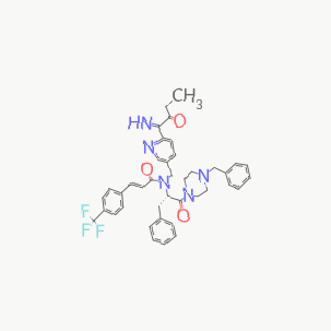 CCC(=O)C(=N)c1ccc(CN(C(=O)C=Cc2ccc(C(F)(F)F)cc2)[C@@H](Cc2ccccc2)C(=O)N2CCN(Cc3ccccc3)CC2)cn1